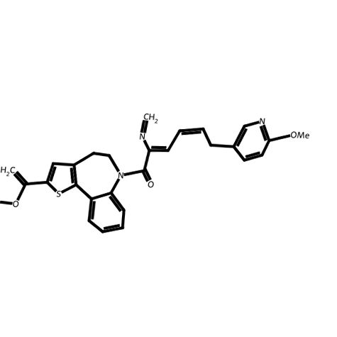 C=N/C(=C\C=C/Cc1ccc(OC)nc1)C(=O)N1CCc2cc(C(=C)OCC)sc2-c2ccccc21